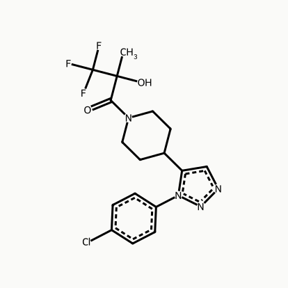 CC(O)(C(=O)N1CCC(c2cnnn2-c2ccc(Cl)cc2)CC1)C(F)(F)F